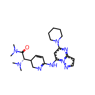 CN(C)C(=O)[C@H](C1C=CC(Nc2cc(N3CCCCC3)nc3ccnn23)=NC1)N(C)C